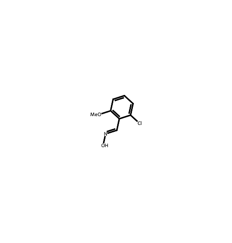 COc1cccc(Cl)c1C=NO